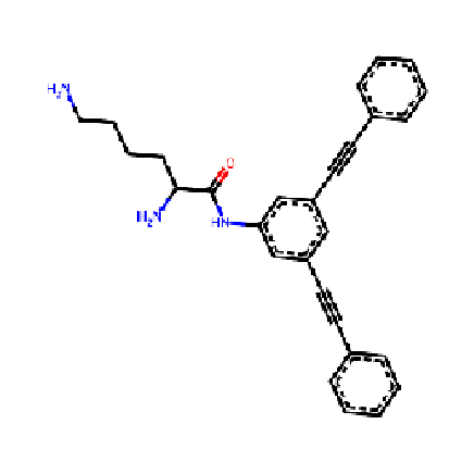 NCCCCC(N)C(=O)Nc1cc(C#Cc2ccccc2)cc(C#Cc2ccccc2)c1